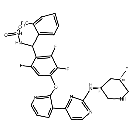 O=[SH](=O)NC(c1ccccc1C(F)(F)F)c1c(F)cc(Oc2ncccc2-c2ccnc(N[C@@H]3CNC[C@@H](F)C3)n2)c(F)c1F